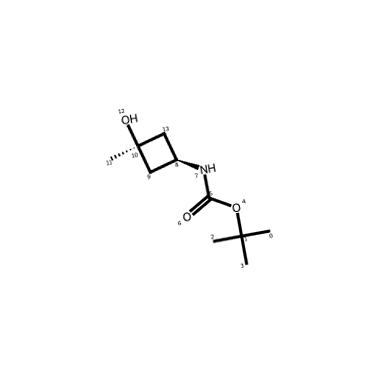 CC(C)(C)OC(=O)N[C@H]1C[C@@](C)(O)C1